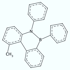 Cc1cccc2c1-c1ccccc1B(c1ccccc1)N2c1ccccc1